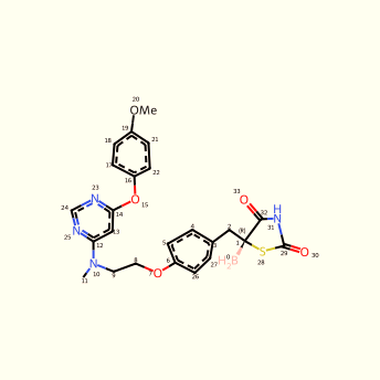 B[C@]1(Cc2ccc(OCCN(C)c3cc(Oc4ccc(OC)cc4)ncn3)cc2)SC(=O)NC1=O